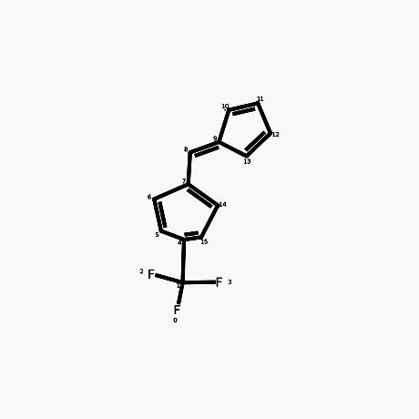 FC(F)(F)c1ccc(C=C2[C]=CC=C2)cc1